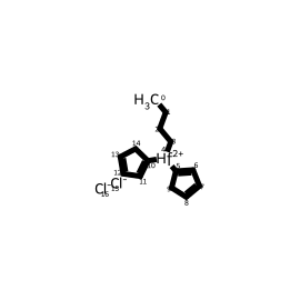 CCC[CH2][Hf+2]([C]1=CC=CC1)[C]1=CC=CC1.[Cl-].[Cl-]